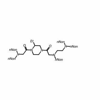 CCCCCCCCCN(CCCCCCCCC)CCN(CCCCCCCCC)CC(=O)N1CCN(C(=O)CN(CCCCCCCCC)CCCCCCCCC)C(CC)C1